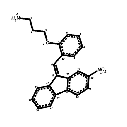 NCCCOc1ccccc1C=C1c2ccccc2-c2ccc([N+](=O)[O-])cc21